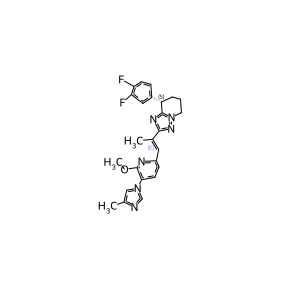 COc1nc(/C=C(\C)c2nc3n(n2)CCC[C@H]3c2ccc(F)c(F)c2)ccc1-n1cnc(C)c1